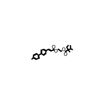 CCC(C)(C(=O)OCCOC(=O)/C=C/c1ccc(-c2ccc(C)cc2)cc1)C(C)C